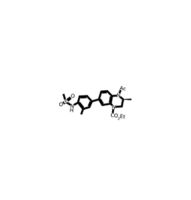 CCOC(=O)N1C[C@H](C)N(C(C)=O)c2ccc(-c3ccc(NS(C)(=O)=O)c(C)c3)cc21